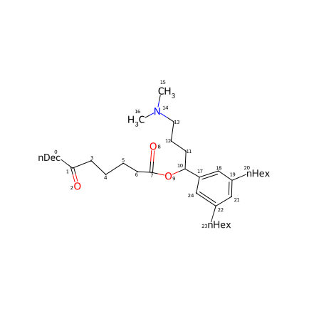 CCCCCCCCCCC(=O)CCCCC(=O)OC(CCCN(C)C)c1cc(CCCCCC)cc(CCCCCC)c1